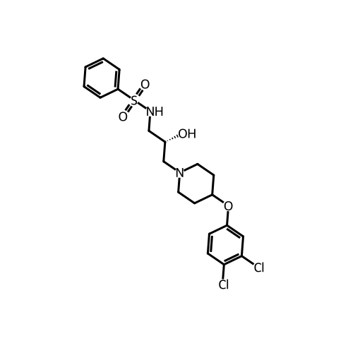 O=S(=O)(NC[C@H](O)CN1CCC(Oc2ccc(Cl)c(Cl)c2)CC1)c1ccccc1